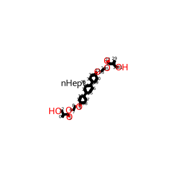 C=C(CO)C(=O)OCCOc1ccc(-c2ccc(-c3ccc(OCCOC(=O)C(=C)CO)cc3)c(CCCCCCC)c2)cc1